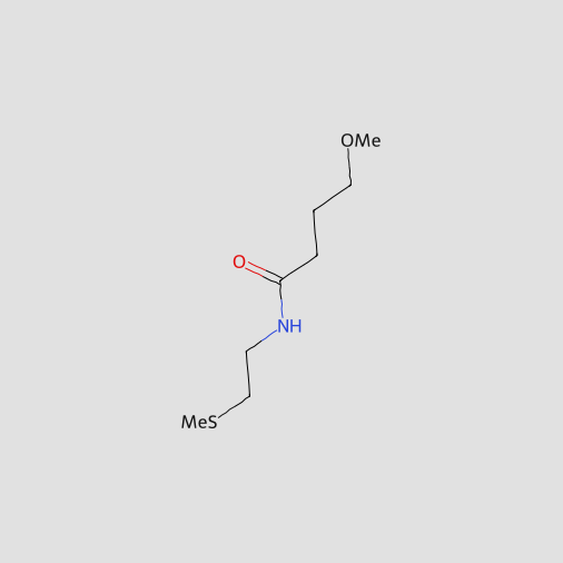 COCCCC(=O)NCCSC